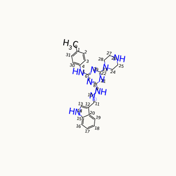 Cc1ccc(Nc2nc(N/N=C/c3c[nH]c4ccccc34)nc(N3CCNCC3)n2)cc1